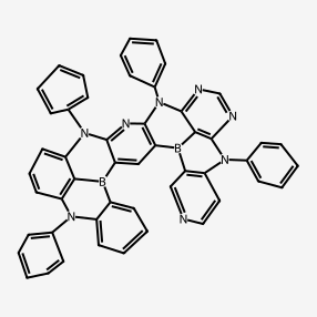 c1ccc(N2c3ccccc3B3c4cc5c(nc4N(c4ccccc4)c4cccc2c43)N(c2ccccc2)c2ncnc3c2B5c2cnccc2N3c2ccccc2)cc1